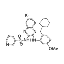 COc1ccc(CC2CCCCC2)c(Nc2nc3ccccc3nc2NS(=O)(=O)c2cccnc2)c1.[K]